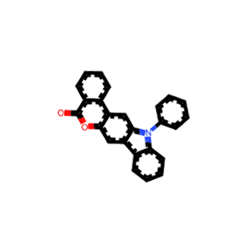 O=c1oc2cc3c4ccccc4n(-c4ccccc4)c3cc2c2ccccc12